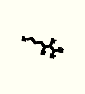 CCC(Br)C(Br)C(Br)CCCBr